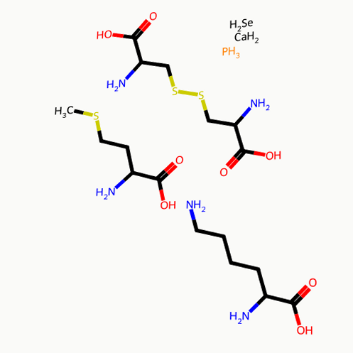 CSCCC(N)C(=O)O.NC(CSSCC(N)C(=O)O)C(=O)O.NCCCCC(N)C(=O)O.P.[CaH2].[SeH2]